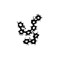 c1cc(-c2cccc3c2sc2ccccc23)cc(-n2c3ccc(-c4ccc5oc6ccccc6c5c4)cc3c3cc(-c4cccc5c4sc4ccccc45)ccc32)c1